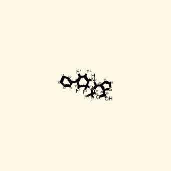 O=C(NC1=C(F)C(F)=C(c2ccccc2)C(F)C1(F)OC(F)(F)F)c1ccsc1C(=O)O